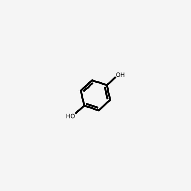 Oc1[c]cc(O)[c]c1